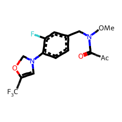 CON(Cc1ccc(N2C=C(C(F)(F)F)OC2)c(F)c1)C(=O)C(C)=O